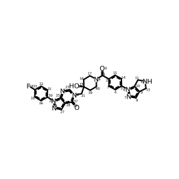 O=C(c1ccc(-n2ncc3c2CNC3)cc1)N1CCC(O)(Cn2cnc3c(cnn3-c3ccc(F)cc3)c2=O)CC1